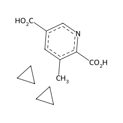 C1CC1.C1CC1.Cc1cc(C(=O)O)cnc1C(=O)O